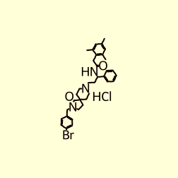 Cc1cc(C)c(CC(=O)NC(CCN2CCC3(CC2)CCN(Cc2ccc(Br)cc2)C3=O)c2ccccc2)c(C)c1.Cl